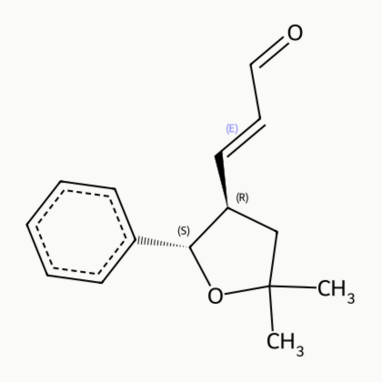 CC1(C)C[C@H](/C=C/C=O)[C@@H](c2ccccc2)O1